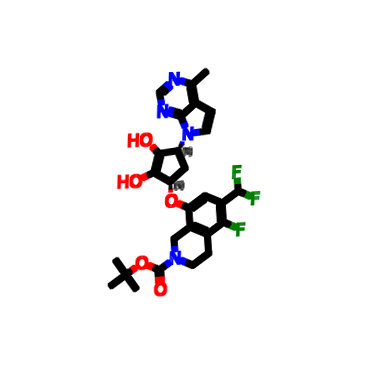 Cc1ncnc2c1ccn2[C@@H]1C[C@H](Oc2cc(C(F)F)c(F)c3c2CN(C(=O)OC(C)(C)C)CC3)C(O)=C1O